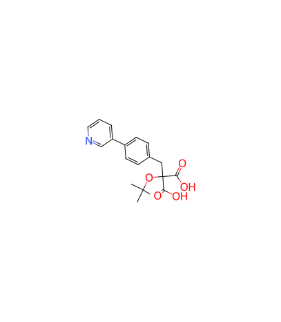 CC(C)(C)OC(Cc1ccc(-c2cccnc2)cc1)(C(=O)O)C(=O)O